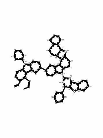 C=Cc1ccc2c(c1/C=C\C)c1cc(-c3ccc4c(c3)c3c5c(ccc3n4-c3nc(-c4ccccc4)c4sc6ccccc6c4n3)oc3c4ccccc4ccc35)ccc1n2-c1ccccc1